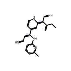 C=C(CC)/C(C=N)=C1C=C(/C(=C/C=N)Nc2cccc(C)n2)C=CN\1